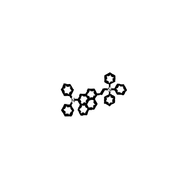 C(=C\[Si](c1ccccc1)(c1ccccc1)c1ccccc1)/c1ccc2cc(N(c3ccccc3)c3ccccc3)c3cccc4ccc1c2c43